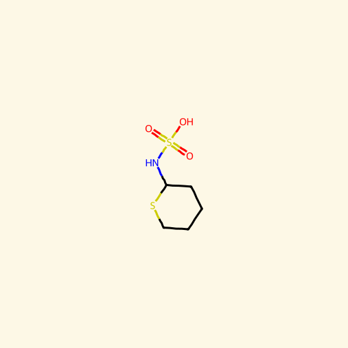 O=S(=O)(O)NC1CCCCS1